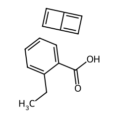 CCc1ccccc1C(=O)O.c1cc2ccc1-2